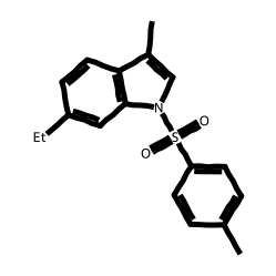 CCc1ccc2c(C)cn(S(=O)(=O)c3ccc(C)cc3)c2c1